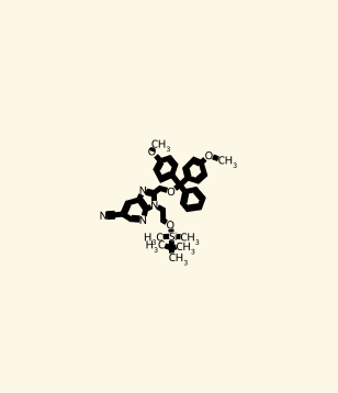 COc1ccc(C(OCc2nc3cc(C#N)cnc3n2CCO[Si](C)(C)C(C)(C)C)(c2ccccc2)c2ccc(OC)cc2)cc1